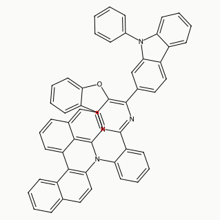 c1ccc(-n2c3ccccc3c3ccc(-c4nc(-c5ccccc5N5c6ccc7ccccc7c6-c6cccc7cccc5c67)nc5c4oc4ccccc45)cc32)cc1